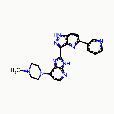 CN1CCN(c2ccnc3[nH]c(-c4n[nH]c5ccc(-c6cccnc6)nc45)nc23)CC1